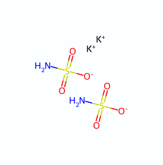 NS(=O)(=O)[O-].NS(=O)(=O)[O-].[K+].[K+]